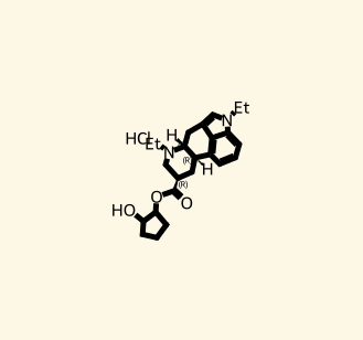 CCN1C[C@H](C(=O)OC2CCCC2O)C[C@@H]2c3cccc4c3c(cn4CC)C[C@H]21.Cl